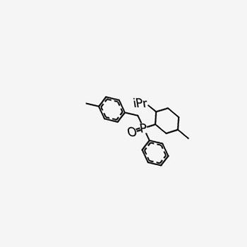 Cc1ccc(CP(=O)(c2ccccc2)C2CC(C)CCC2C(C)C)cc1